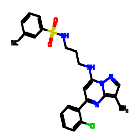 Bc1cnn2c(NCCCNS(=O)(=O)c3cccc(C#N)c3)cc(-c3ccccc3Cl)nc12